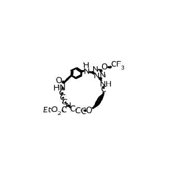 CCOC(=O)N1CCCNC(=O)c2ccc(cc2)Nc2nc(nc(OCC(F)(F)F)n2)NCc2ccc(cc2)OCCC1